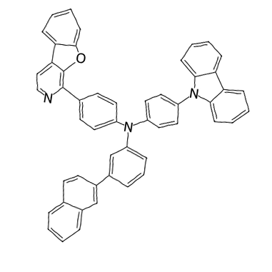 c1cc(-c2ccc3ccccc3c2)cc(N(c2ccc(-c3nccc4c3oc3ccccc34)cc2)c2ccc(-n3c4ccccc4c4ccccc43)cc2)c1